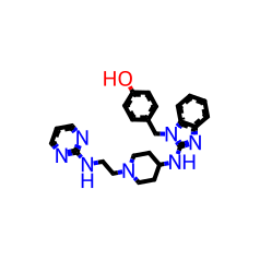 Oc1ccc(Cn2c(NC3CCN(CCNc4ncccn4)CC3)nc3ccccc32)cc1